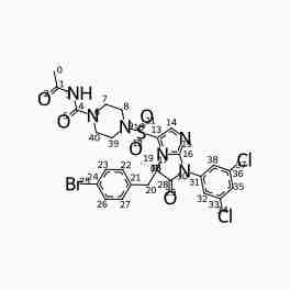 CC(=O)NC(=O)N1CCN(S(=O)(=O)c2cnc3n2[C@](C)(Cc2ccc(Br)cc2)C(=O)N3c2cc(Cl)cc(Cl)c2)CC1